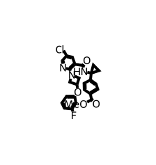 COC(=O)c1ccc(C2(NC(=O)c3cc(Cl)cnc3N3CC(Oc4cccc(F)c4)C3)CC2)cc1